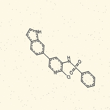 O=S(=O)(Nc1cc(-c2ccc3cc[nH]c3c2)cnc1Cl)c1ccccc1